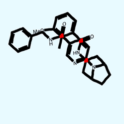 COc1cccc(C(=O)NC2CC3CCC(C2)N3c2ccc(C(=O)NCc3ccccc3)cn2)c1C